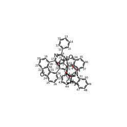 C=C/C=C(\C=C/C)c1nc(-c2ccccc2)nc(-c2cccc3oc4cccc(-c5ccc6oc7cccc(-n8c9ccccc9c9ccccc98)c7c6c5)c4c23)n1